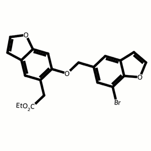 CCOC(=O)Cc1cc2ccoc2cc1OCc1cc(Br)c2occc2c1